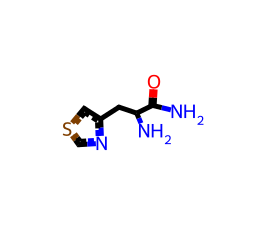 NC(=O)C(N)Cc1cscn1